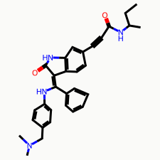 CCC(C)NC(=O)C#Cc1ccc2c(c1)NC(=O)/C2=C(\Nc1ccc(CN(C)C)cc1)c1ccccc1